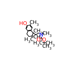 Cc1cc2c(cc1O)CCC(C)(C)[C@@]2(C)CCN(C)C(=O)OC(C)(C)C